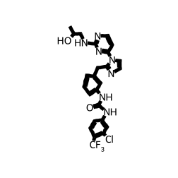 CC(O)CNc1nccc(-n2ccnc2Cc2cccc(NC(=O)Nc3ccc(C(F)(F)F)c(Cl)c3)c2)n1